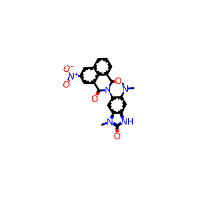 CN(C)c1cc2[nH]c(=O)n(C)c2cc1N1C(=O)c2cccc3cc([N+](=O)[O-])cc(c23)C1=O